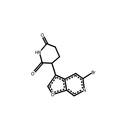 O=C1CCC(c2coc3cnc(Br)cc23)C(=O)N1